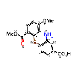 COC(=O)c1ccc(OC)cc1Sc1ccc(C(=O)O)cc1N